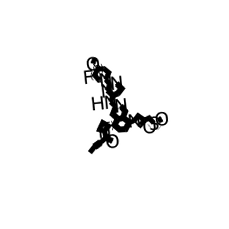 CC#CC(=O)N1CC[C@H]1c1ccc(N2CC(CS(C)(=O)=O)C2)c2cnc(Nc3ccnc(N4CC[C@@H](OC)[C@@H](F)C4)n3)cc12